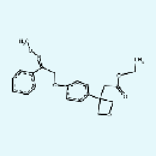 CCOC(=O)CC1(c2ccc(OC/C(=N/OC)c3ccccc3)cc2)COC1